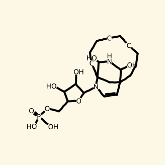 O=P(O)(O)OCC1OC(N2C=CC34CCCCCCCCCC2(C3)C(O)NC4O)C(O)C1O